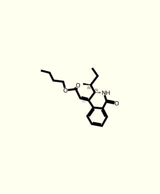 CCCCOC(=O)/C=C1/c2ccccc2C(=O)N[C@H]1[C@@H](C)CC